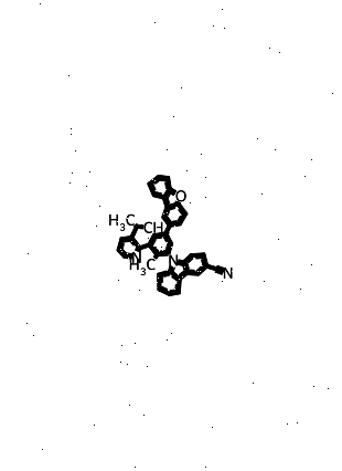 Cc1c(-c2ncccc2C(C)C)cc(-c2ccc3oc4ccccc4c3c2)cc1-n1c2ccccc2c2cc(C#N)ccc21